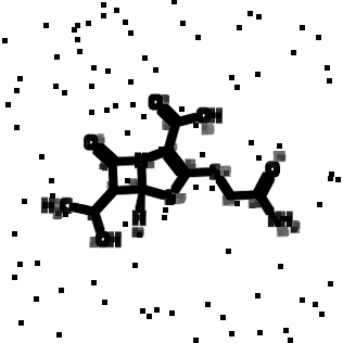 CC(O)C1C(=O)N2C(C(=O)O)=C(SCC(N)=O)S[C@H]12